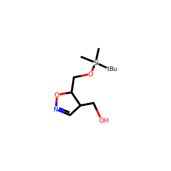 CC(C)(C)[Si](C)(C)OCC1ON=CC1CO